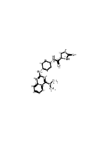 CN(C)c1nc(N[C@H]2CC[C@@H](NC(=O)C3CSC(=S)N3)CC2)nc2ccccc12